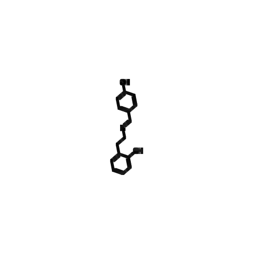 Oc1ccc(/C=N/CCc2ccccc2O)cc1